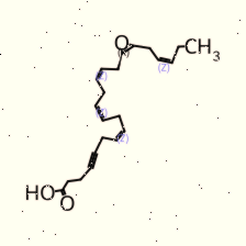 CC/C=C\CC1O[C@@H]1C/C=C\C/C=C\C/C=C\CC#CCCC(=O)O